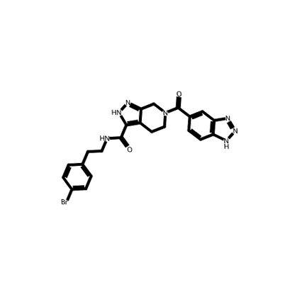 O=C(NCCc1ccc(Br)cc1)c1[nH]nc2c1CCN(C(=O)c1ccc3[nH]nnc3c1)C2